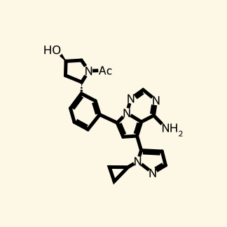 CC(=O)N1C[C@H](O)C[C@H]1c1cccc(-c2cc(-c3ccnn3C3CC3)c3c(N)ncnn23)c1